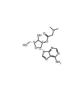 CN(C)CC(=O)O[C@@H]1C(O)[C@@H](CO)O[C@H]1n1cnc2c(N)ncnc21